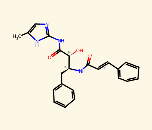 Cc1cnc(NC(=O)[C@H](O)[C@H](Cc2ccccc2)NC(=O)/C=C/c2ccccc2)[nH]1